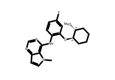 CO[C@@H]1CCCC[C@H]1Oc1cc(F)ccc1Nc1ncnc2ccn(C)c12